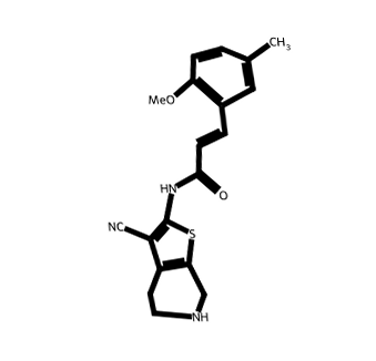 COc1ccc(C)cc1C=CC(=O)Nc1sc2c(c1C#N)CCNC2